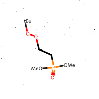 COP(=O)(CCOOC(C)(C)C)OC